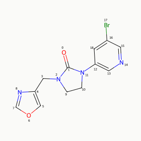 O=C1N(Cc2cocn2)CCN1c1cncc(Br)c1